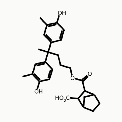 Cc1cc(C(C)(CCCOC(=O)C2C3CCC(C3)C2C(=O)O)c2ccc(O)c(C)c2)ccc1O